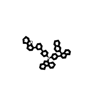 c1cc(-c2ccc(N(c3ccc(-c4ccc5ccccc5c4-c4ccc5ccccc5c4)cc3)c3cc4ccccc4c4ccccc34)cc2)cc(-c2cccc3c2oc2ccccc23)c1